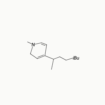 CCC(C)CCC(C)C1=CCN(C)C=C1